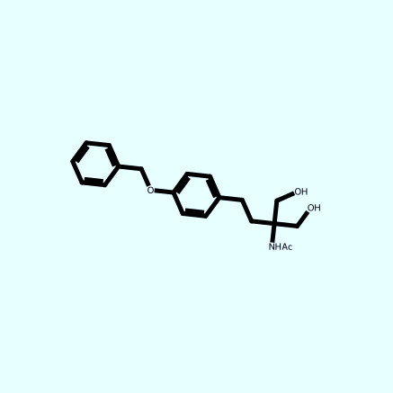 CC(=O)NC(CO)(CO)CCc1ccc(OCc2ccccc2)cc1